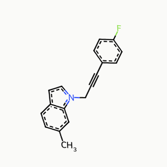 Cc1ccc2ccn(CC#Cc3ccc(F)cc3)c2c1